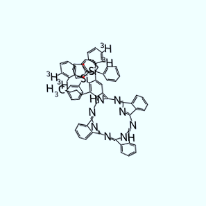 [3H]c1cccc([Si](c2ccccc2)(c2ccccc2)c2cc3c4nc5nc(nc6[nH]c(nc7nc(nc([nH]4)c3c(CCCC)c2[Si](c2ccccc2)(c2ccccc2)c2cccc([3H])c2[3H])-c2ccccc2-7)c2ccccc62)-c2ccccc2-5)c1[3H]